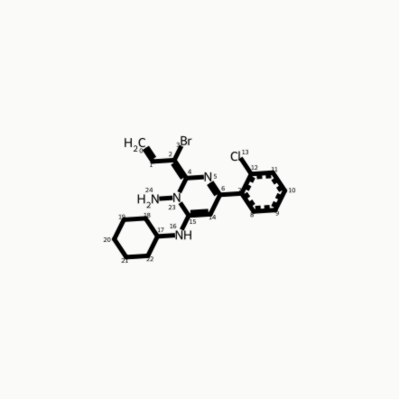 C=C/C(Br)=C1/N=C(c2ccccc2Cl)C=C(NC2CCCCC2)N1N